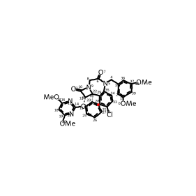 COc1cc(CN2C(=O)CN3C(=O)[C@@H](Oc4nc(OC)cc(OC)n4)[C@]3(c3ccccc3)c3cc(Cl)ccc32)cc(OC)c1